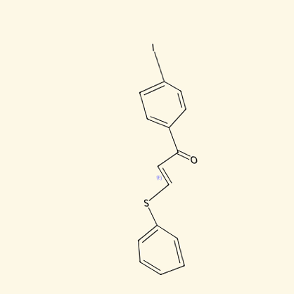 O=C(/C=C/Sc1ccccc1)c1ccc(I)cc1